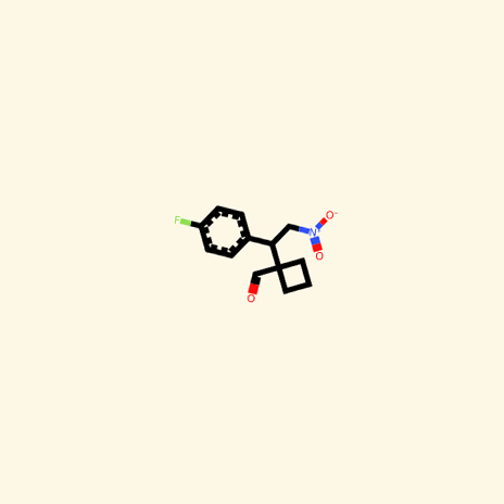 O=CC1(C(C[N+](=O)[O-])c2ccc(F)cc2)CCC1